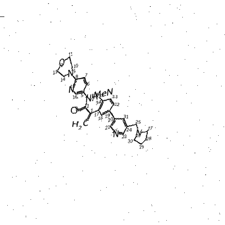 C=C(C(=O)Nc1ccc(N2CCOCC2)nc1)c1cc(-c2cncc(CN3CCCC3)c2)ccc1NC